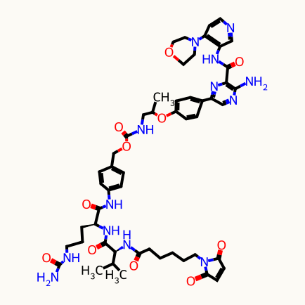 CC(CNC(=O)OCc1ccc(NC(=O)[C@H](CCCNC(N)=O)NC(=O)[C@@H](NC(=O)CCCCCN2C(=O)C=CC2=O)C(C)C)cc1)Oc1ccc(-c2cnc(N)c(C(=O)Nc3cnccc3N3CCOCC3)n2)cc1